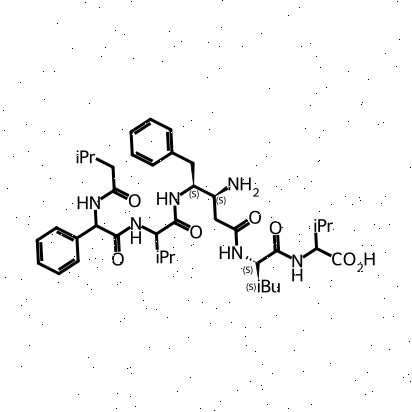 CC[C@H](C)[C@H](NC(=O)C[C@H](N)[C@H](Cc1ccccc1)NC(=O)C(NC(=O)C(NC(=O)CC(C)C)c1ccccc1)C(C)C)C(=O)NC(C(=O)O)C(C)C